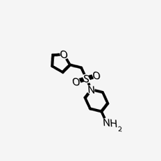 NC1CCN(S(=O)(=O)CC2CCCO2)CC1